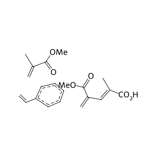 C=C(C)C(=O)OC.C=C(C=C(C)C(=O)O)C(=O)OC.C=Cc1ccccc1